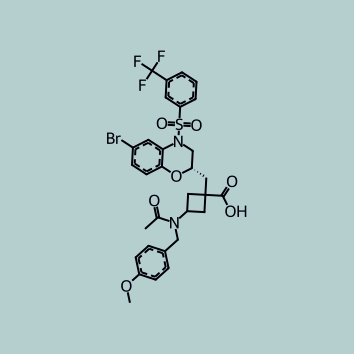 COc1ccc(CN(C(C)=O)C2CC(C[C@H]3CN(S(=O)(=O)c4cccc(C(F)(F)F)c4)c4cc(Br)ccc4O3)(C(=O)O)C2)cc1